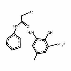 CC(=O)CC(=O)Nc1ccccc1.Cc1cc(N)c(O)c(S(=O)(=O)O)c1